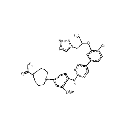 COc1cc(N2CCCN(C(=O)C(F)(F)F)CC2)ccc1Nc1ncc(-c2ccc(Cl)c(OC(C)Cn3cnnn3)c2)cn1